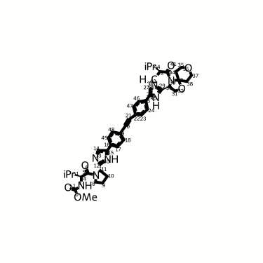 COC(=O)N[C@H](C(=O)N1CCC[C@H]1c1ncc(-c2ccc(C#Cc3ccc(-c4cnc([C@@H]5COC6(CCOCC6)N5C(=O)[C@@H](C)C(C)C)[nH]4)cc3)cc2)[nH]1)C(C)C